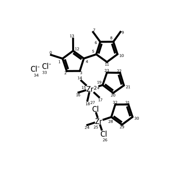 CC1=CCC(C2=C(C)C(C)=CC2)=C1C.[CH3][Zr+2]([CH3])([CH3])([CH3])[C]1=CC=CC1.[CH3][Zr]([Cl])([Cl])[C]1=CC=CC1.[Cl-].[Cl-]